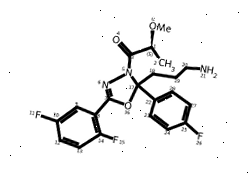 CO[C@@H](C)C(=O)N1N=C(c2cc(F)ccc2F)OC1(CCCN)c1ccc(F)cc1